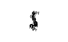 CC(C)Oc1ncccc1-c1cnn2ccc(N3CCN(C(=O)O[C@@]4(C)CCNC4)CC3)nc12